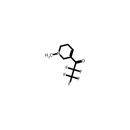 CN1CCC=C(C(=O)C(F)(F)C(F)(F)F)C1